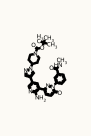 CNC(=O)c1cccc(-n2nc(-c3cc(-c4cnn(C5CCN(C(=O)OC(C)(C)C)CC5)c4)cnc3N)ccc2=O)c1